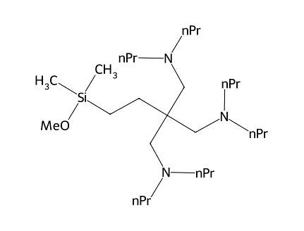 CCCN(CCC)CC(CC[Si](C)(C)OC)(CN(CCC)CCC)CN(CCC)CCC